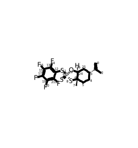 C=C(C)[C@@H]1CC[C@]2(C)SP(=S)(Sc3c(F)c(F)c(F)c(F)c3F)O[C@H]2C1